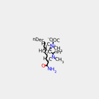 CCCC(C(=O)O)N(C)C.CCCCCCCCCCCCCCCCCC(N)=O.C[N+](C)(C)CC(=O)[O-]